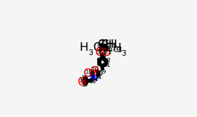 CC1(C)OB(c2ccc(C[C@@H]3CN(CC4COC4)C(=O)O3)cc2)OC1(C)C